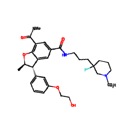 CNC(=O)c1cc(C(=O)NCCCC2(F)CCCN(C(=O)O)C2)cc2c1O[C@H](C)[C@H]2c1cccc(OCCO)c1